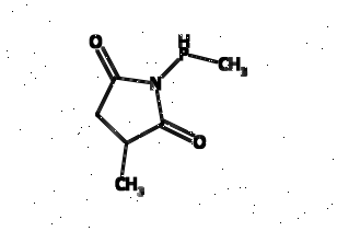 CPN1C(=O)CC(C)C1=O